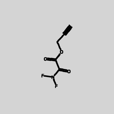 C#CCOC(=O)C(=O)N(F)F